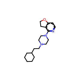 [CH]1CCC(CCN2CCN(c3nccc4c3CCO4)CC2)CC1